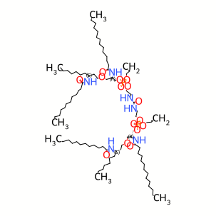 C=CCOP(=O)(OCCNC(=O)NCCOP(=O)(OCC=C)OC[C@@H](COCC[C@H](CCCCCCC)NC(=O)CCCCCCCCCCC)NC(=O)CCCCCCCCCCCCC)OC[C@@H](COCC[C@H](CCCCCCC)NC(=O)CCCCCCCCCCC)NC(=O)CCCCCCCCCCCCC